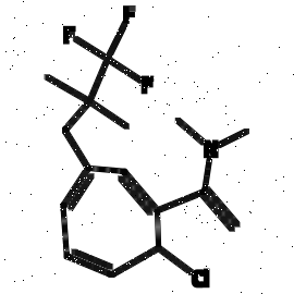 C=C(C1=CC(CC(C)(C)C(F)(F)F)=CC=CC1Cl)N(C)C